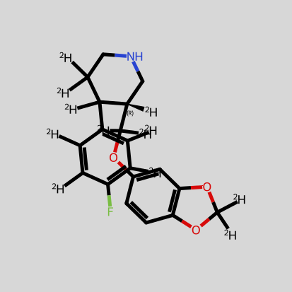 [2H]c1c([2H])c(C2([2H])C([2H])([2H])CNC[C@]2([2H])C([2H])([2H])Oc2ccc3c(c2)OC([2H])([2H])O3)c([2H])c([2H])c1F